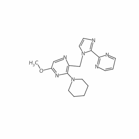 COc1cnc(Cn2ccnc2-c2ncccn2)c(N2CCCCC2)n1